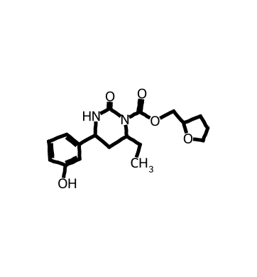 CCC1CC(c2cccc(O)c2)NC(=O)N1C(=O)OCC1CCCO1